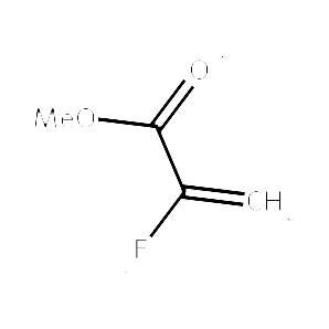 C=C(F)C(=O)OC